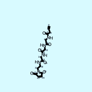 C#CCC(=O)NCC(=O)NCC(=O)NCC(=O)NCCN1C(=O)C=CC1=O